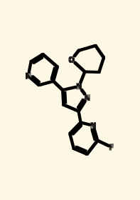 Fc1cccc(-c2cc(-c3cccnc3)n(C3CCCCO3)n2)n1